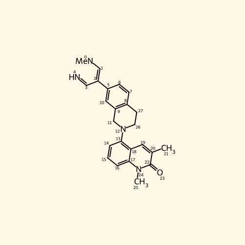 CN/C=C(\C=N)c1ccc2c(c1)CN(c1cccc3c1cc(C)c(=O)n3C)CC2